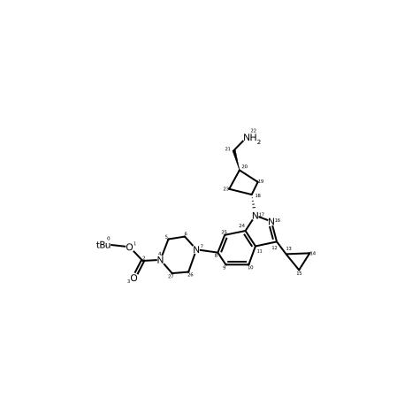 CC(C)(C)OC(=O)N1CCN(c2ccc3c(C4CC4)nn([C@H]4C[C@H](CN)C4)c3c2)CC1